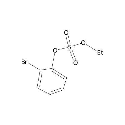 CCOS(=O)(=O)Oc1ccccc1Br